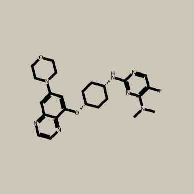 CN(C)c1nc(N[C@H]2CC[C@@H](Oc3cc(N4CCOCC4)cc4nccnc34)CC2)ncc1F